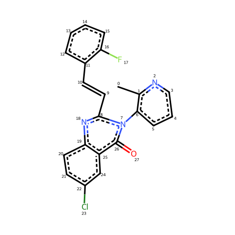 Cc1ncccc1-n1c(C=Cc2ccccc2F)nc2ccc(Cl)cc2c1=O